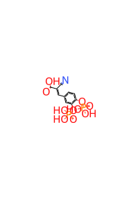 N#C/C(=C\c1ccc(OP(=O)(O)O)c(OP(=O)(O)O)c1)C(=O)O